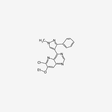 CCOc1cc2ncnc(-c3cn(C)nc3-c3ccccc3)c2nc1Cl